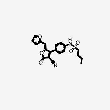 CCCCS(=O)(=O)Nc1ccc(C2=C(C#N)C(=O)O/C2=C\c2ccco2)cc1